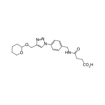 O=C(O)CCC(=O)NCc1ccc(-n2cc(COC3CCCCO3)nn2)cc1